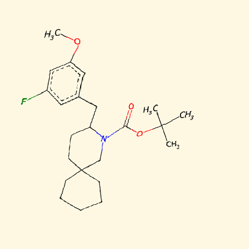 COc1cc(F)cc(CC2CCC3(CCCCC3)CN2C(=O)OC(C)(C)C)c1